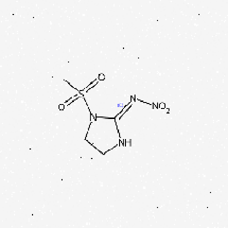 CS(=O)(=O)N1CCN/C1=N\[N+](=O)[O-]